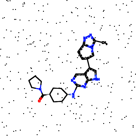 Cc1nnc2ccc(-c3c[nH]c4nc(N[C@H]5CC[C@@H](C(=O)N6CCCC6)CC5)ncc34)cn12